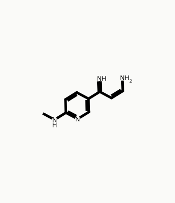 CNc1ccc(C(=N)/C=C\N)cn1